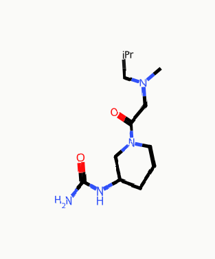 CC(C)CN(C)CC(=O)N1CCCC(NC(N)=O)C1